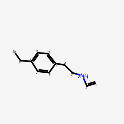 C=CNCCc1ccc(CC)cc1